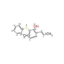 CC=Cc1cccc(Sc2ccccc2C)c1O